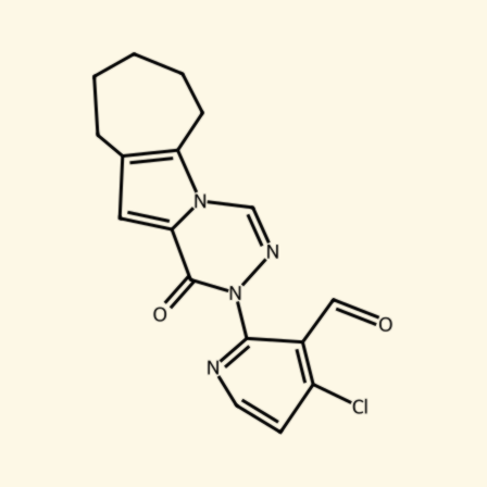 O=Cc1c(Cl)ccnc1-n1ncn2c3c(cc2c1=O)CCCCC3